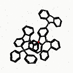 c1ccc(-c2ccccc2-n2c3cc(-n4c5ccccc5c5ccccc54)ccc3c3c(-n4c5ccccc5c5cccc([Si](c6ccccc6)(c6ccccc6)c6ccccc6)c54)cccc32)cc1